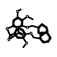 COc1cc(C23Oc4cc(OC)c(OC)c(OCc5ccccc5)c4C(=O)C2O3)ccc1OCc1ccccc1